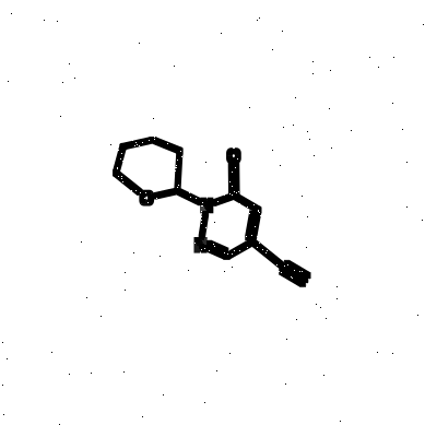 C#Cc1cnn(C2CCCCO2)c(=O)c1